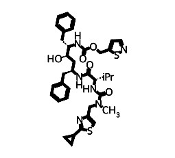 CC(C)[C@H](NC(=O)N(C)Cc1csc(C2CC2)n1)C(=O)N[C@@H](Cc1ccccc1)C[C@H](O)[C@H](Cc1ccccc1)NC(=O)OCc1ccns1